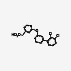 O=C(O)Cc1cccc(Oc2cccc(-c3cccc(Cl)c3Cl)c2)c1